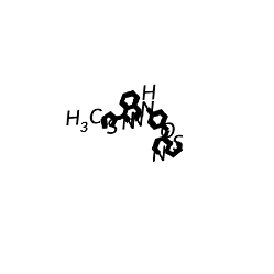 Cc1csc(-c2nnc(Nc3ccc(Oc4ccnc5ccsc45)cc3)c3ccccc23)c1